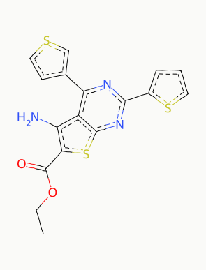 CCOC(=O)c1sc2nc(-c3cccs3)nc(-c3ccsc3)c2c1N